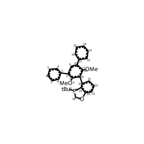 COc1c(-c2ccccc2)cc(-c2ccccc2)c(OC)c1-c1cccc2c1P(C(C)(C)C)CO2